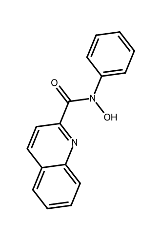 O=C(c1ccc2ccccc2n1)N(O)c1ccccc1